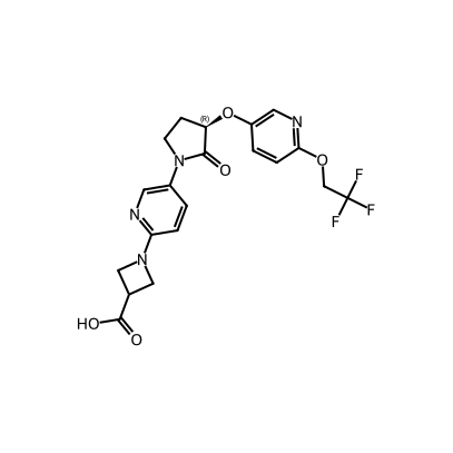 O=C(O)C1CN(c2ccc(N3CC[C@@H](Oc4ccc(OCC(F)(F)F)nc4)C3=O)cn2)C1